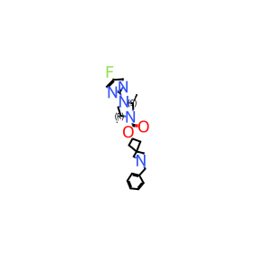 C[C@@H]1CN(c2ncc(F)cn2)[C@@H](C)CN1C(=O)OC1CC2(C1)CN(Cc1ccccc1)C2